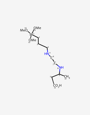 CO[Si](CCCNCCNC(C)CC(=O)O)(OC)OC